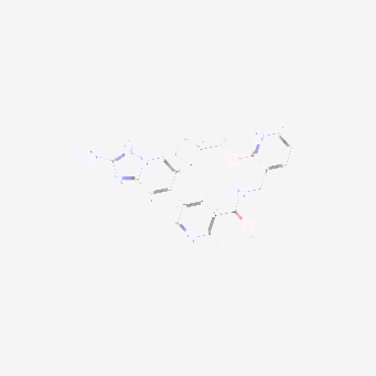 Cc1ncc(-c2ccn3nc(N)nc3c2)cc1C(=O)NCc1cccnc1OCC1CCC1